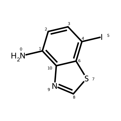 Nc1ccc(I)c2scnc12